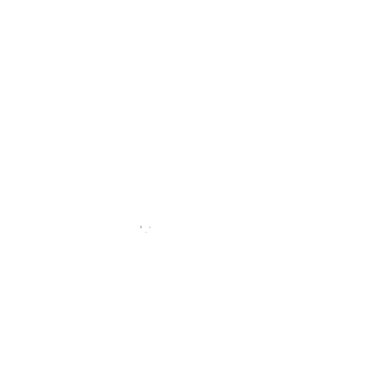 Cc1ccc(C=CC(=O)I)cc1